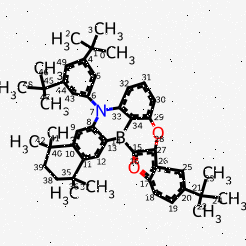 CC(C)(C)c1cc(N2c3cc4c(cc3B3c5oc6ccc(C(C)(C)C)cc6c5Oc5cccc2c53)C(C)(C)CCC4(C)C)cc(C(C)(C)C)c1